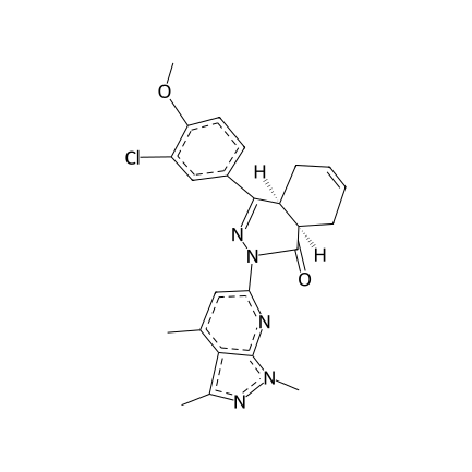 COc1ccc(C2=NN(c3cc(C)c4c(C)nn(C)c4n3)C(=O)[C@@H]3CC=CC[C@H]23)cc1Cl